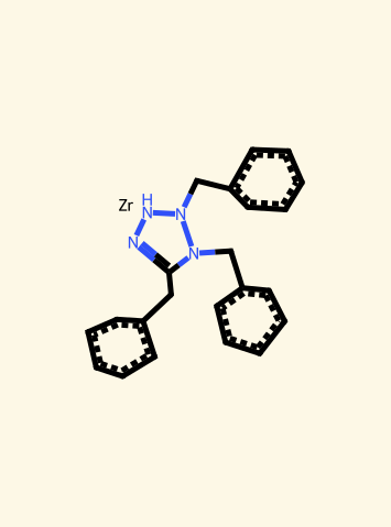 [Zr].c1ccc(CC2=NNN(Cc3ccccc3)N2Cc2ccccc2)cc1